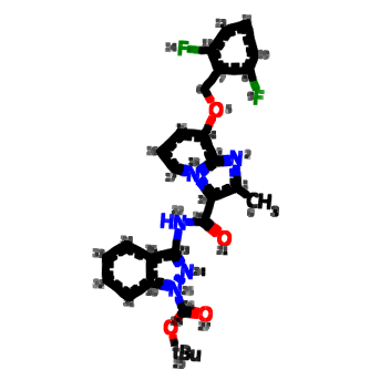 Cc1nc2c(OCc3c(F)cccc3F)cccn2c1C(=O)Nc1nn(C(=O)OC(C)(C)C)c2ccccc12